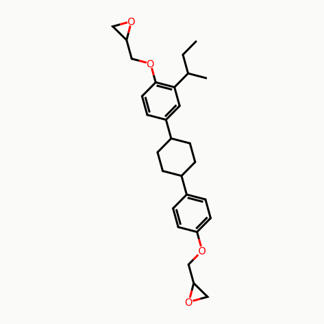 CCC(C)c1cc(C2CCC(c3ccc(OCC4CO4)cc3)CC2)ccc1OCC1CO1